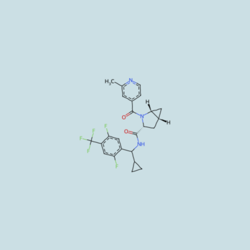 Cc1cc(C(=O)N2[C@@H](C(=O)NC(c3cc(F)c(C(F)(F)F)cc3F)C3CC3)C[C@H]3C[C@H]32)ccn1